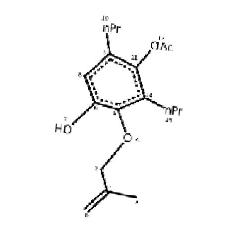 C=C(C)COc1c(O)cc(CCC)c(OC(C)=O)c1CCC